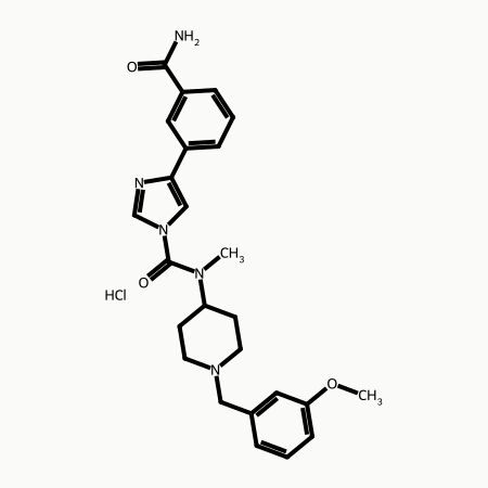 COc1cccc(CN2CCC(N(C)C(=O)n3cnc(-c4cccc(C(N)=O)c4)c3)CC2)c1.Cl